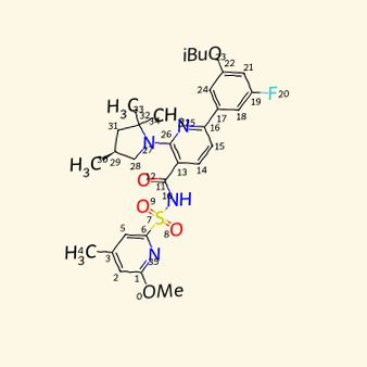 COc1cc(C)cc(S(=O)(=O)NC(=O)c2ccc(-c3cc(F)cc(OCC(C)C)c3)nc2N2C[C@@H](C)CC2(C)C)n1